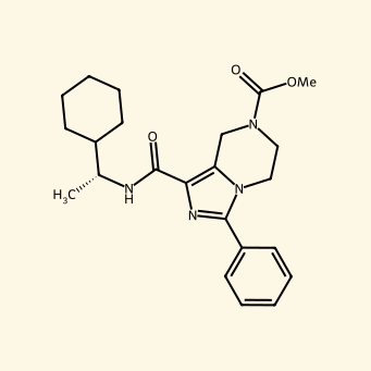 COC(=O)N1CCn2c(-c3ccccc3)nc(C(=O)N[C@H](C)C3CCCCC3)c2C1